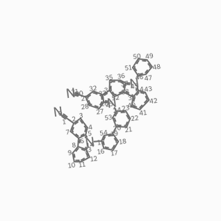 N#Cc1ccc2c(c1)c1ccccc1n2-c1cccc(-c2cccc(-n3c4ccc(C#N)cc4c4ccc5c(c6ccccc6n5-c5ccccc5)c43)c2)c1